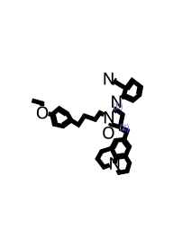 CCOc1ccc(CCCCN2C(=O)/C(=C\c3cc4c5c(c3)CCCN5CCC4)C/C2=N\c2ccccc2C#N)cc1